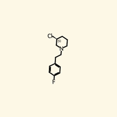 Fc1ccc(CCN2CCC[C@H](Cl)C2)cc1